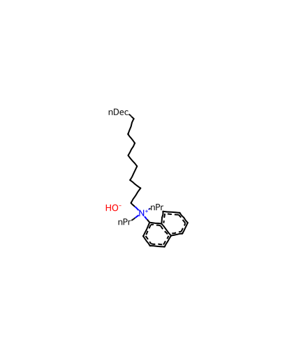 CCCCCCCCCCCCCCCCCC[N+](CCC)(CCC)c1cccc2ccccc12.[OH-]